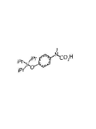 CC(C)[Si](Oc1ccc(N(C)C(=O)O)cc1)(C(C)C)C(C)C